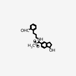 CS(=O)(=O)C(NCCCc1ccccc1C=O)c1ccc2c(c1)CCC2O